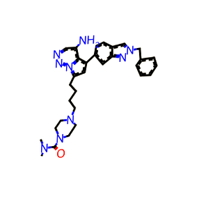 CN(C)C(=O)N1CCN(CCCCc2cc(-c3ccc4cn(Cc5ccccc5)nc4c3)c3c(N)cnnn23)CC1